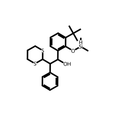 C[SiH](C)Oc1c(C(O)C(c2ccccc2)C2SCCCS2)cccc1C(C)(C)C